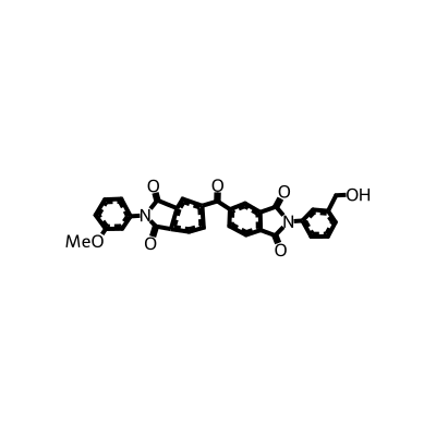 COc1cccc(N2C(=O)c3ccc(C(=O)c4ccc5c(c4)C(=O)N(c4cccc(CO)c4)C5=O)cc3C2=O)c1